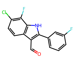 O=Cc1c(-c2cccc(F)c2)[nH]c2c(F)c(Cl)ccc12